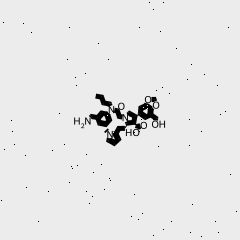 CCCCN(C(=O)CN1C[C@H](c2cc(CO)c3c(c2)OCO3)[C@@H](C(=O)O)[C@@H]1CCc1cccn1C)c1cccc(CN)c1